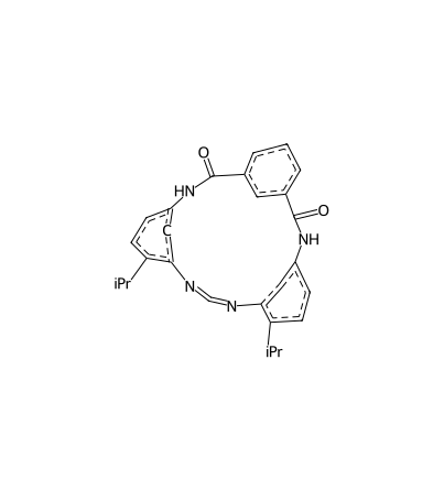 CC(C)c1ccc2cc1N=C=Nc1cc(ccc1C(C)C)NC(=O)c1cccc(c1)C(=O)N2